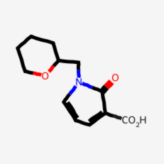 O=C(O)c1cccn(CC2CCCCO2)c1=O